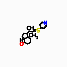 C[C@H](CCSc1ccncc1)C1CC[C@H]2C(=O)CCC[C@]12C